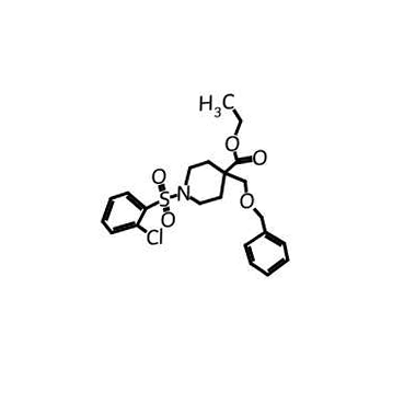 CCOC(=O)C1(COCc2ccccc2)CCN(S(=O)(=O)c2ccccc2Cl)CC1